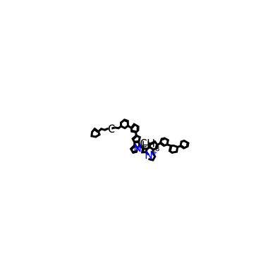 C[C@@]1(C2=CC3C2[C@@H]2C=CC(C4=CC(C5=CCCC(C6=CC=CCC6)C5)CC=C4)=CC2C2CCC=[N+]32)C2=C(C=C(c3cccc(C4C=CCC(CCCCCCC5=CCCCC5)C4)c3)C2)c2cccn21